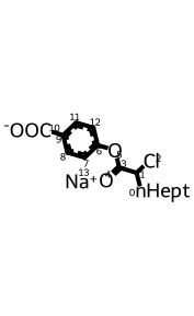 CCCCCCCC(Cl)C(=O)Oc1ccc(C(=O)[O-])cc1.[Na+]